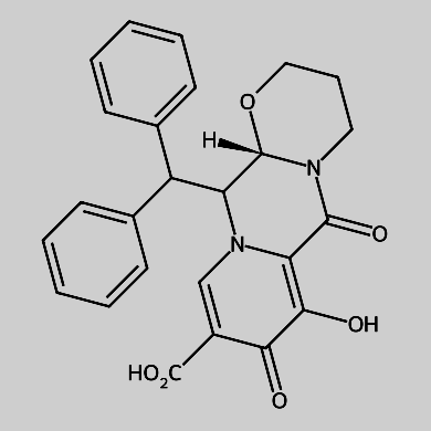 O=C(O)c1cn2c(c(O)c1=O)C(=O)N1CCCO[C@H]1C2C(c1ccccc1)c1ccccc1